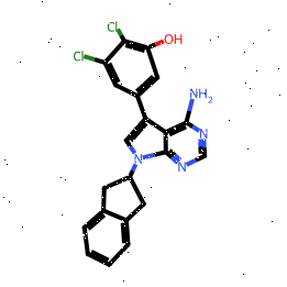 Nc1ncnc2c1c(-c1cc(O)c(Cl)c(Cl)c1)cn2C1Cc2ccccc2C1